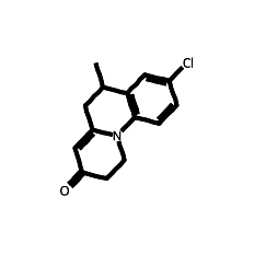 CC1CC2=CC(=O)CCN2c2ccc(Cl)cc21